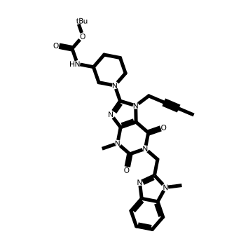 CC#CCn1c(N2CCCC(NC(=O)OC(C)(C)C)C2)nc2c1c(=O)n(Cc1nc3ccccc3n1C)c(=O)n2C